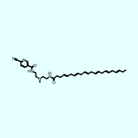 CCC=CCC=CCC=CCC=CCC=CCC=CCCC(=O)NCCN(C)CCNC(=O)c1ccc(C#N)nc1